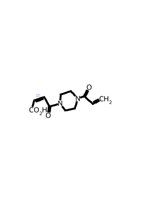 C=CC(=O)N1CCN(C(=O)/C=C\C(=O)O)CC1